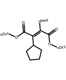 CCCCCCCCOC(=O)C(CCCCC)=C(C(=O)OCCCCCCCC)C1CCCC1